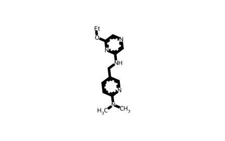 CCOc1cncc(NCc2ccc(N(C)C)nc2)n1